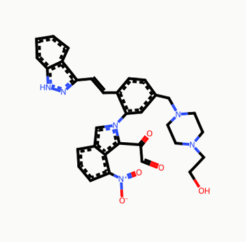 O=CC(=O)c1c2c([N+](=O)[O-])cccc2cn1-c1cc(CN2CCN(CCO)CC2)ccc1C=Cc1n[nH]c2ccccc12